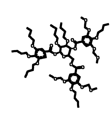 CCCCOc1cc(C(=O)O[C@@H]2OC(COC(=O)c3cc(OCOC)c(OCCCC)c(OCOC)c3)[C@@H](OC(=O)c3cc(OCOC)c(OCCCC)c(OCOC)c3)[C@H](OCCCC)C2OCCCC)cc(OCCCC)c1OCCCC